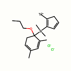 CCCOC1([Si](C)(C)C2=[C]([Ti+2])CC=C2)CC=C(C)C=C1C.[Cl-].[Cl-]